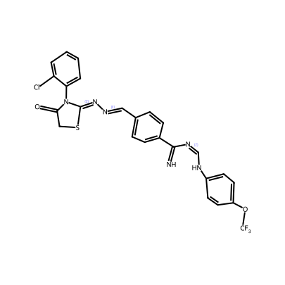 N=C(/N=C\Nc1ccc(OC(F)(F)F)cc1)c1ccc(/C=N/N=C2\SCC(=O)N2c2ccccc2Cl)cc1